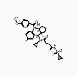 O=C(CCC(=O)N(C1CC1)[C@H]1c2cc(F)ccc2N(C(=O)c2ccc(OC(F)(F)F)cc2)[C@H]2CCC[C@@H]21)NS(=O)(=O)C1CC1